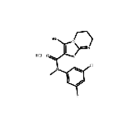 CCCCC1=C(C(=O)N(C)c2cc(Cl)cc(Cl)c2)SC2=NCCCN21.Cl